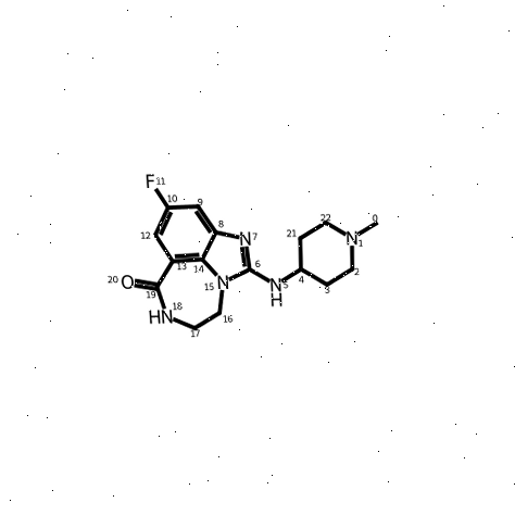 CN1CCC(Nc2nc3cc(F)cc4c3n2CCNC4=O)CC1